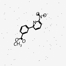 COC(=O)c1cccc(-c2cccc([N+](=O)[O-])n2)c1